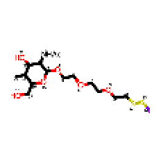 CC(=O)NC1C(OCCOCCOCCSSI)OC(CO)C(C)C1O